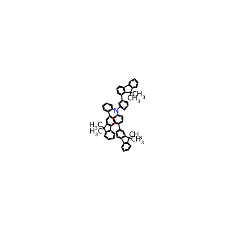 CC1(C)c2ccccc2-c2ccc(-c3ccc(N(c4cccc(-c5cccc6c5C(C)(C)c5ccccc5-6)c4)c4ccccc4-c4ccc5c(c4)C(C)(C)c4ccccc4-5)cc3)cc21